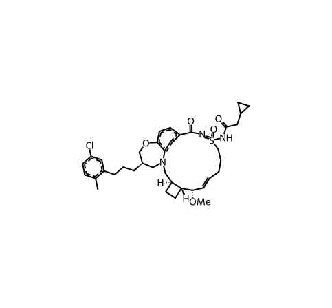 CO[C@H]1/C=C/CCCS(=O)(NC(=O)CC2CC2)=NC(=O)c2ccc3c(c2)N(C[C@@H](CCCc2cc(Cl)ccc2C)CO3)C[C@@H]2CC[C@H]21